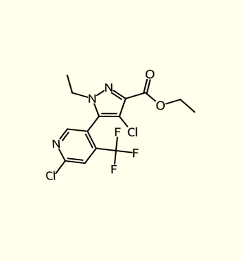 CCOC(=O)c1nn(CC)c(-c2cnc(Cl)cc2C(F)(F)F)c1Cl